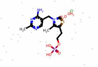 Cc1ncc(C[n+]2csc(CCOP(=O)(O)O)c2C)c(N)n1.O.O.[Cl-]